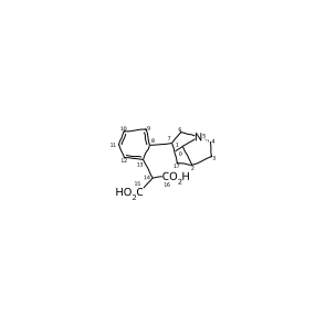 CC1C2CC[N@@]1CC(c1ccccc1C(C(=O)O)C(=O)O)C2